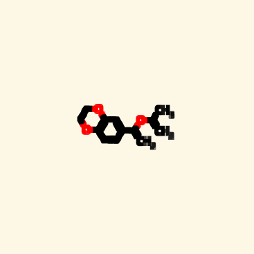 C=C(C)OC(=C)c1ccc2c(c1)OCCO2